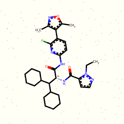 CCn1nccc1C(=O)N[C@@H](C(=O)Nc1ccc(-c2c(C)noc2C)c(F)n1)C(C1CCCCC1)C1CCCCC1